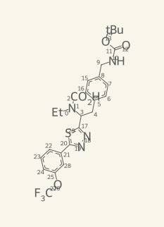 CCN(C(=O)O)C(Cc1ccc(CNC(=O)OC(C)(C)C)cc1)c1nnc(-c2cccc(OC(F)(F)F)c2)s1